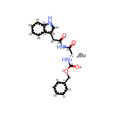 CC[C@H](C)[C@H](NC(=O)OCc1ccccc1)C(=O)NC(=O)Cc1c[nH]c2ccccc12